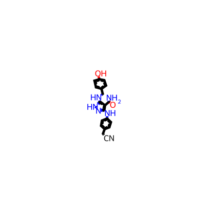 N#CCc1ccc(Nc2n[nH]c(NCc3ccc(O)cc3)c2C(N)=O)cc1